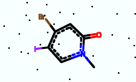 Cn1cc(I)c(Br)cc1=O